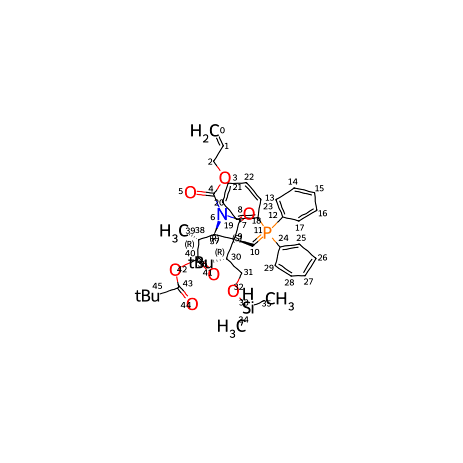 C=CCOC(=O)N1C(=O)[C@](C=P(c2ccccc2)(c2ccccc2)c2ccccc2)([C@H](CO[SiH](C)C)C(C)(C)C)[C@H]1[C@@H](C)C(=O)OC(=O)C(C)(C)C